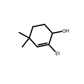 CCC1=CC(C)(C)CCC1O